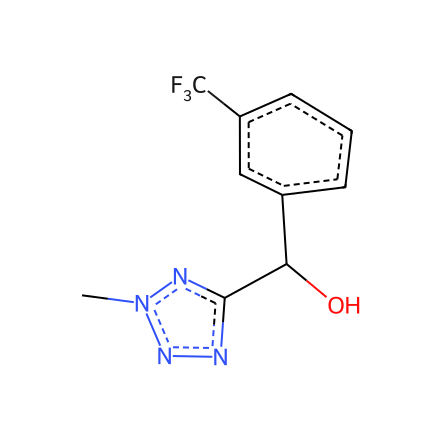 Cn1nnc(C(O)c2cccc(C(F)(F)F)c2)n1